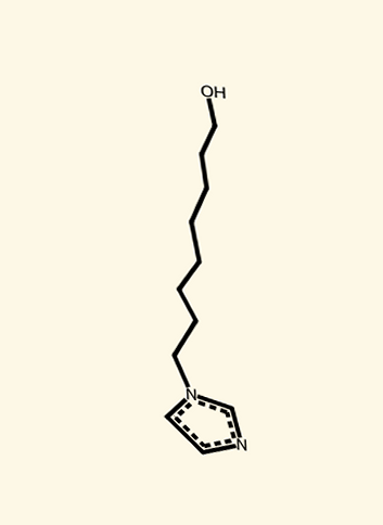 OCCCCCCCCn1ccnc1